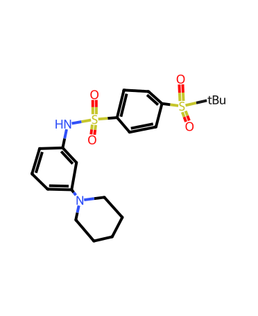 CC(C)(C)S(=O)(=O)c1ccc(S(=O)(=O)Nc2cccc(N3CCCCC3)c2)cc1